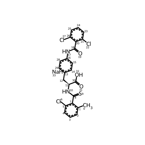 Cc1cccc(Cl)c1C(=S)N[C@@H](Cc1ccc(NC(=O)c2c(Cl)cccc2Cl)cc1)C(=O)O.[NaH]